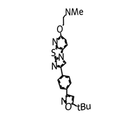 CNCCOc1ccc2c(n1)sc1nc(-c3ccc(-c4cc(C(C)(C)C)on4)cc3)cn12